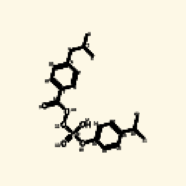 CC(C)Cc1ccc(C(=O)OOP(=O)(O)Oc2ccc(C(C)C)cc2)cc1